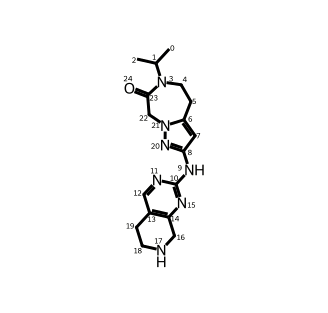 CC(C)N1CCc2cc(Nc3ncc4c(n3)CNCC4)nn2CC1=O